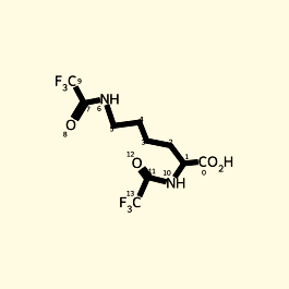 O=C(O)C(CCCCNC(=O)C(F)(F)F)NC(=O)C(F)(F)F